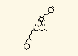 CCCC(CN(C)/C=C/C=C(\C)CN1CCCCC1)C(=O)Nc1nnc(CCC2CCOCC2)s1